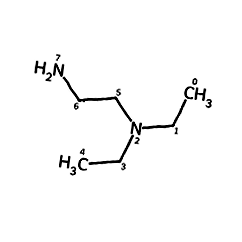 CCN(CC)C[CH]N